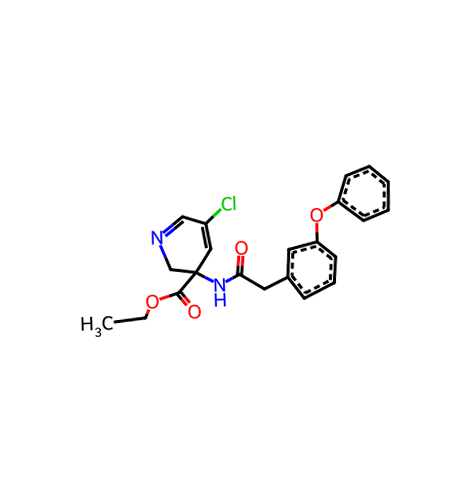 CCOC(=O)C1(NC(=O)Cc2cccc(Oc3ccccc3)c2)C=C(Cl)C=NC1